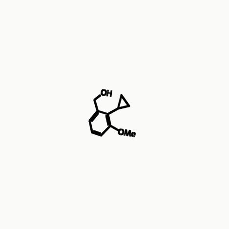 COc1cccc(CO)c1C1CC1